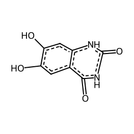 O=c1[nH]c(=O)c2cc(O)c(O)cc2[nH]1